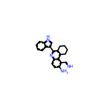 N=Cc1c(N)ccc2nc(-c3c[nH]c4ccccc34)c3c(c12)CCCC3